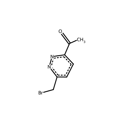 CC(=O)c1ccc(CBr)nn1